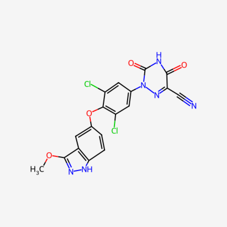 COc1n[nH]c2ccc(Oc3c(Cl)cc(-n4nc(C#N)c(=O)[nH]c4=O)cc3Cl)cc12